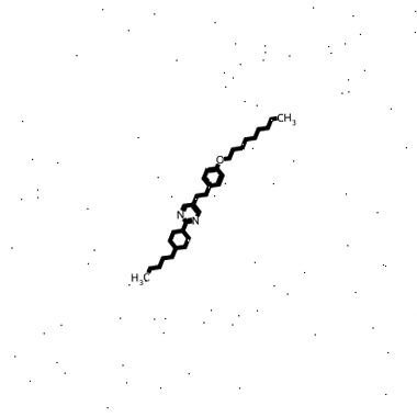 CCCCCCCCCOc1ccc(CCc2cnc(C3CCC(CCCCC)CC3)nc2)cc1